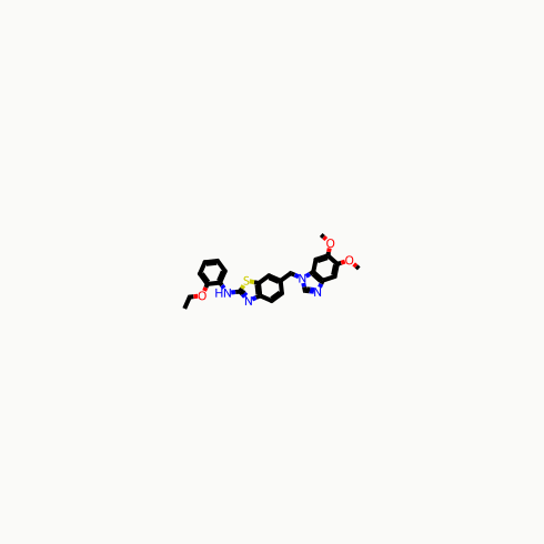 CCOc1ccccc1Nc1nc2ccc(Cn3cnc4cc(OC)c(OC)cc43)cc2s1